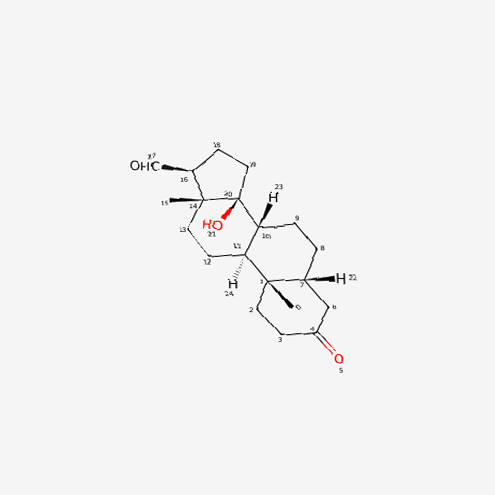 C[C@]12CCC(=O)C[C@H]1CC[C@@H]1[C@@H]2CC[C@]2(C)[C@@H](C=O)CC[C@]12O